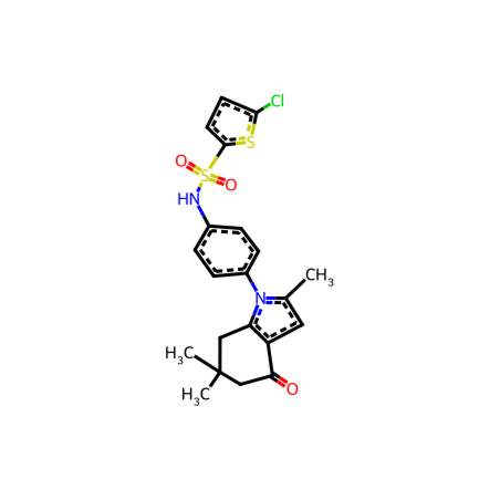 Cc1cc2c(n1-c1ccc(NS(=O)(=O)c3ccc(Cl)s3)cc1)CC(C)(C)CC2=O